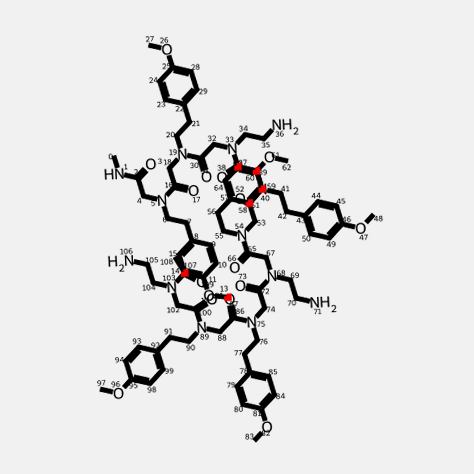 CNC(=O)CN(CCc1ccc(OC)cc1)C(=O)CN(CCc1ccc(OC)cc1)C(=O)CN(CCN)C(=O)CN(CCc1ccc(OC)cc1)C(=O)CN(CCc1ccc(OC)cc1)C(=O)CN(CCN)C(=O)CN(CCc1ccc(OC)cc1)C(=O)CN(CCc1ccc(OC)cc1)C(=O)CN(CCN)C(C)=O